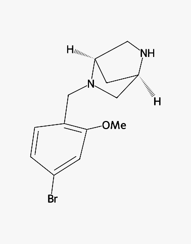 COc1cc(Br)ccc1CN1C[C@H]2C[C@@H]1CN2